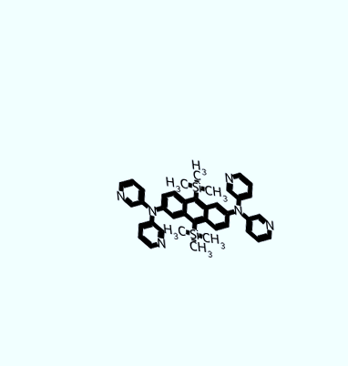 C[Si](C)(C)c1c2ccc(N(c3cccnc3)c3cccnc3)cc2c([Si](C)(C)C)c2ccc(N(c3cccnc3)c3cccnc3)cc12